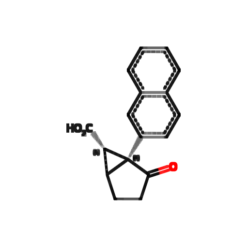 O=C(O)[C@H]1C2CCC(=O)[C@@]21c1ccc2ccccc2c1